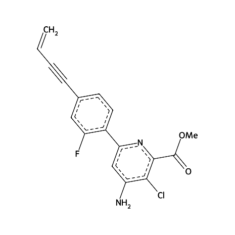 C=CC#Cc1ccc(-c2cc(N)c(Cl)c(C(=O)OC)n2)c(F)c1